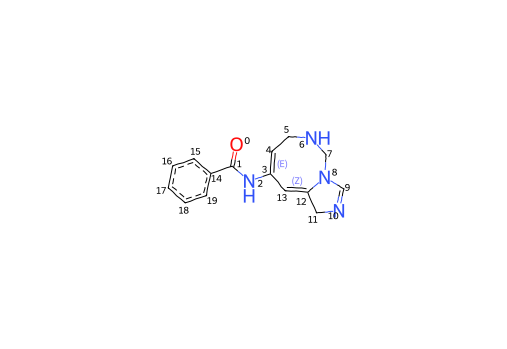 O=C(NC1=C/CNCN2C=NC\C2=C\1)c1ccccc1